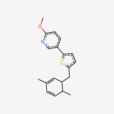 COc1ccc(-c2ccc(CC3C=C(C)C=CC3C)s2)cn1